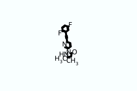 CC1(C)CC(=O)N(c2ccc(C#Cc3cc(F)ccc3F)nc2)N1